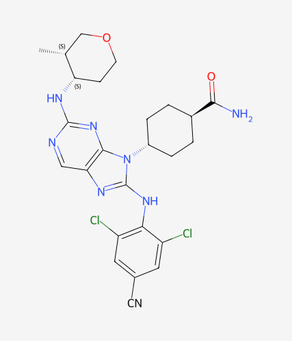 C[C@@H]1COCC[C@@H]1Nc1ncc2nc(Nc3c(Cl)cc(C#N)cc3Cl)n([C@H]3CC[C@H](C(N)=O)CC3)c2n1